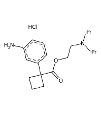 CC(C)N(CCOC(=O)C1(c2cccc(N)c2)CCC1)C(C)C.Cl